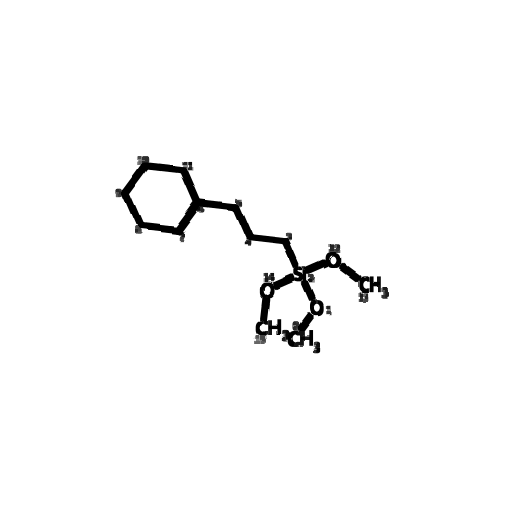 CO[Si](CCCC1CCCCC1)(OC)OC